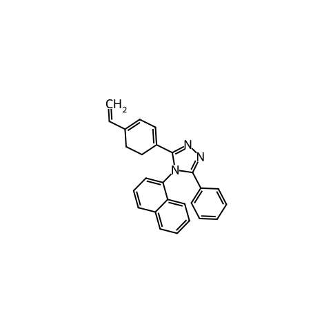 C=CC1=CC=C(c2nnc(-c3ccccc3)n2-c2cccc3ccccc23)CC1